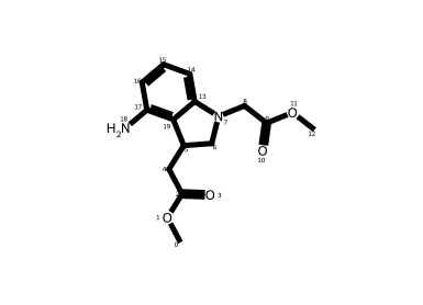 COC(=O)CC1CN(CC(=O)OC)c2cccc(N)c21